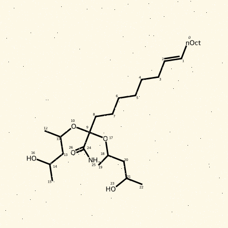 CCCCCCCCC=CCCCCCCC(OC(C)CC(C)O)(OC(C)CC(C)O)C(N)=O